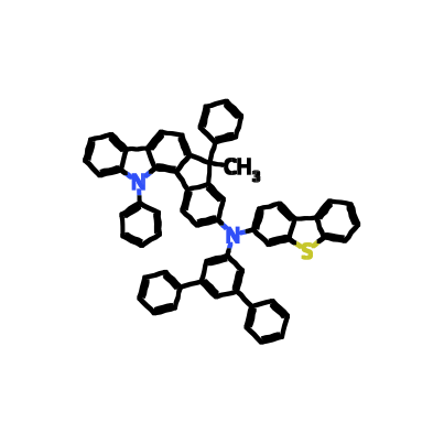 CC1(c2ccccc2)c2cc(N(c3cc(-c4ccccc4)cc(-c4ccccc4)c3)c3ccc4c(c3)sc3ccccc34)ccc2-c2c1ccc1c3ccccc3n(-c3ccccc3)c21